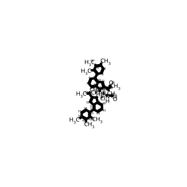 Cc1ccc(-c2cccc3c2C=C(C(C)C)[CH]3[Hf]([Cl])([Cl])([B](NC=O)NC=O)[CH]2C(C(C)C)=Cc3c(-c4ccc(C)c(C)c4C)cccc32)c(C)c1C